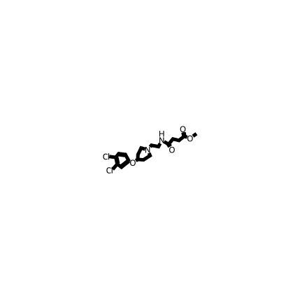 COC(=O)CCC(=O)NCCN1CCC(Oc2ccc(Cl)c(Cl)c2)CC1